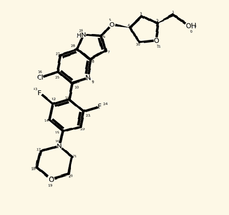 OC[C@@H]1C[C@H](Oc2cc3nc(-c4c(F)cc(N5CCOCC5)cc4F)c(Cl)cc3[nH]2)CO1